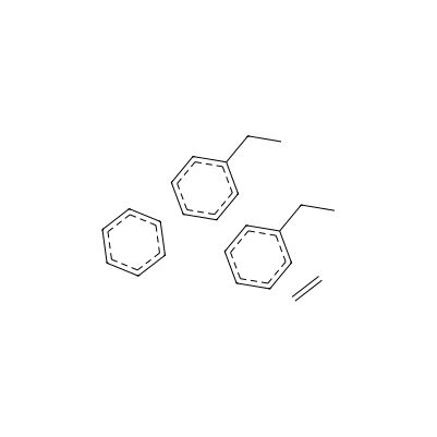 C=C.CCc1ccccc1.CCc1ccccc1.c1ccccc1